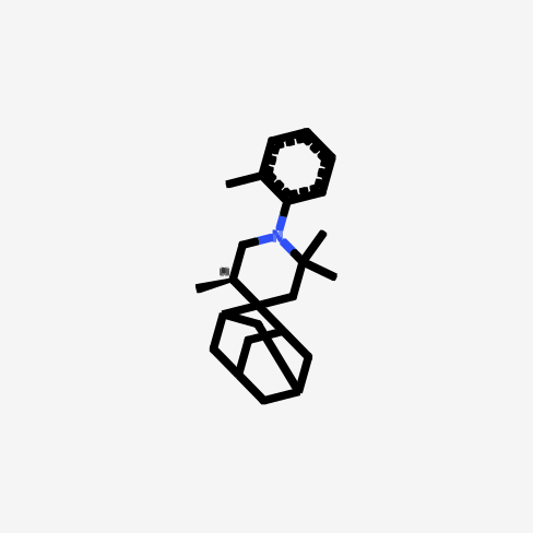 Cc1ccccc1N1C[C@H](C)C2(CC1(C)C)C1CC3CC(C1)CC2C3